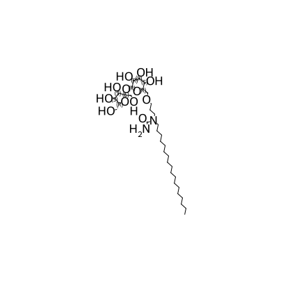 CCCCCCCCCCCCCCCCCCN(CCCOC[C@H]1O[C@H](O[C@]2(CO)O[C@H](CO)[C@@H](O)[C@@H]2O)[C@H](O)[C@@H](O)[C@@H]1O)C(N)=O